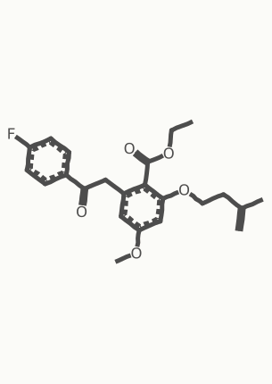 C=C(C)CCOc1cc(OC)cc(CC(=O)c2ccc(F)cc2)c1C(=O)OCC